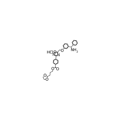 Cl.NC(c1ccccc1)c1cccc(OCc2nc(-c3ccc(C(=O)OCCCC4OCCO4)cc3)no2)c1